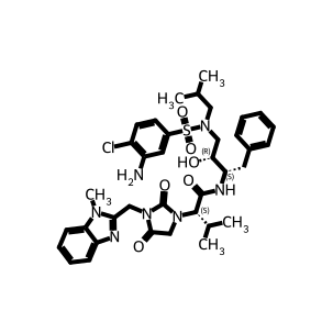 CC(C)CN(C[C@@H](O)[C@H](Cc1ccccc1)NC(=O)[C@H](C(C)C)N1CC(=O)N(Cc2nc3ccccc3n2C)C1=O)S(=O)(=O)c1ccc(Cl)c(N)c1